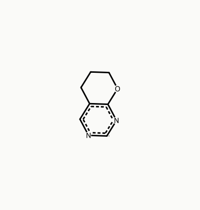 [c]1ncc2c(n1)OCCC2